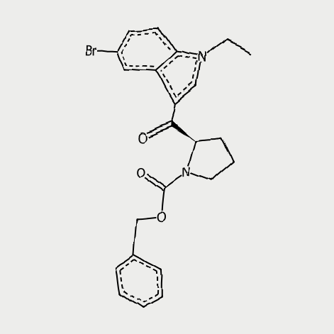 CCn1cc(C(=O)[C@H]2CCCN2C(=O)OCc2ccccc2)c2cc(Br)ccc21